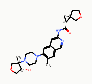 Cc1cc2cnc(NC(=O)[C@@H]3C[C@@]34CCOC4)cc2cc1N1CCN([C@@]2(C)COC[C@H]2O)CC1